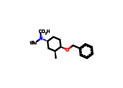 C[C@H]1C[C@H](N(C(=O)O)C(C)(C)C)CC[C@H]1OCc1ccccc1